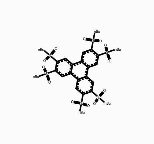 CCCCS(=O)(=O)c1cc2c3cc(S(=O)(=O)CCCC)c(S(=O)(=O)CCCC)cc3c3cc(S(=O)(=O)CCCC)c(S(=O)(=O)CCCC)cc3c2cc1S(=O)(=O)CCCC